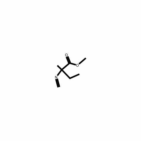 C=NC(C)(CC)C(=O)OC